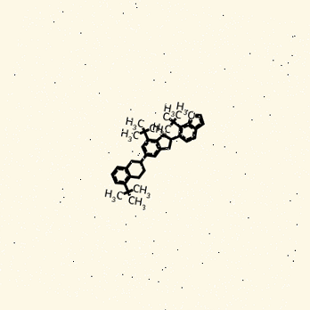 CC(C)(C)c1cccc2c1CCC(c1cc3c(c(C(C)(C)C)c1)CC(c1ccc4ccoc4c1C(C)(C)C)C3)C2